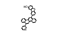 N#Cc1ccc2sc3ccc(-c4cc5c6ccccc6c(-c6cccnc6)cc5c5ccccc45)cc3c2c1